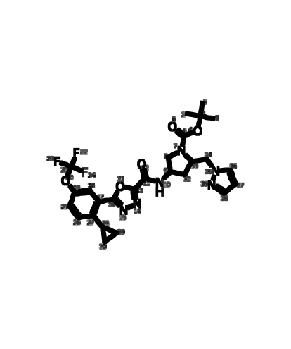 CC(C)(C)OC(=O)N1CC(NC(=O)c2nnc(-c3cc(OC(F)(F)F)ccc3C3CC3)o2)CC1Cn1cccn1